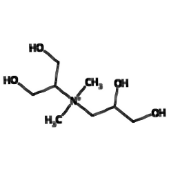 C[N+](C)(CC(O)CO)C(CO)CO